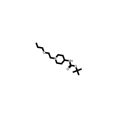 CCCOCCN1CCC(NC(=O)OC(C)(C)C)CC1